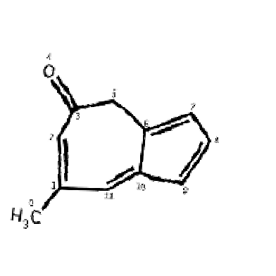 CC1=CC(=O)CC2=CC=CC2=C1